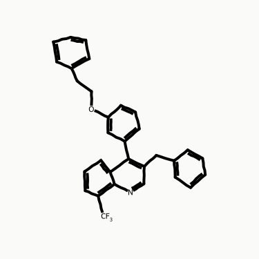 FC(F)(F)c1cccc2c(-c3cccc(OCCc4ccccc4)c3)c(Cc3ccccc3)cnc12